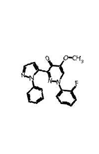 COc1cn(-c2cc[c]cc2F)nc(-c2ccnn2-c2ccccc2)c1=O